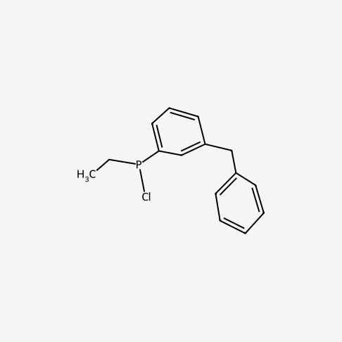 CCP(Cl)c1cccc(Cc2ccccc2)c1